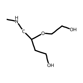 CNCC(CCO)OCCO